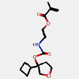 C=C(C)C(=O)OCCNC(=O)OC1(C2CCC2)CCOC1